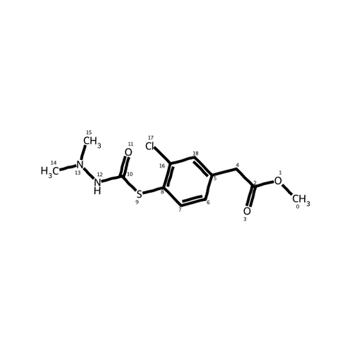 COC(=O)Cc1ccc(SC(=O)NN(C)C)c(Cl)c1